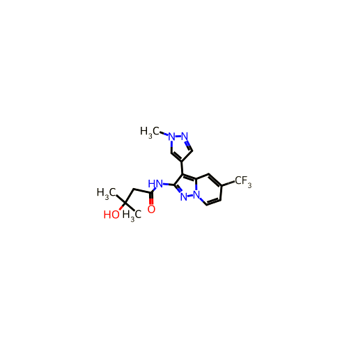 Cn1cc(-c2c(NC(=O)CC(C)(C)O)nn3ccc(C(F)(F)F)cc23)cn1